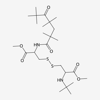 COC(=O)C(CSSCC(NC(C)(C)C)C(=O)OC)NC(=O)C(C)(C)CC(C)(C)C(=O)C(C)(C)C